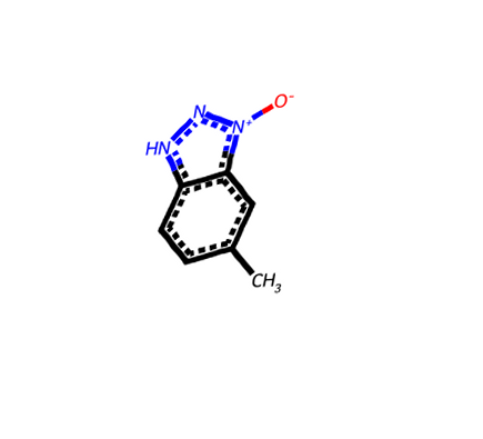 Cc1ccc2[nH]n[n+]([O-])c2c1